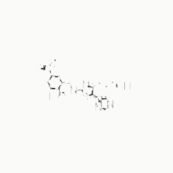 CCCCc1nc(NCc2cc([N+](=O)[O-])ccc2O)sc1-n1cncn1